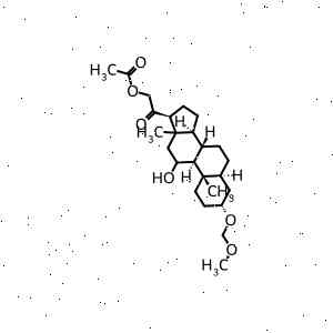 COCO[C@@H]1CC[C@@]2(C)[C@@H](CC[C@H]3[C@@H]4CC[C@H](C(=O)COC(C)=O)C4(C)CC(O)[C@@H]32)C1